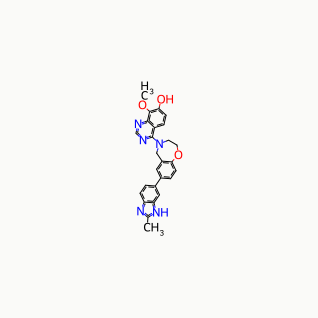 COc1c(O)ccc2c(N3CCOc4ccc(-c5ccc6nc(C)[nH]c6c5)cc4C3)ncnc12